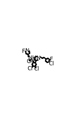 O=C(NCc1ccnc(F)c1)n1c2c(c3cc(Cl)c(Cl)cc31)CN(CC=Cc1ccc(Cl)c(F)c1)CC2